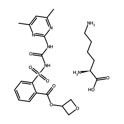 Cc1cc(C)nc(NC(=O)NS(=O)(=O)c2ccccc2C(=O)OC2COC2)n1.NCCCC[C@H](N)C(=O)O